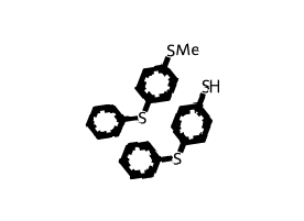 CSc1ccc(Sc2ccccc2)cc1.Sc1ccc(Sc2ccccc2)cc1